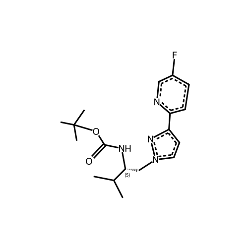 CC(C)[C@@H](Cn1ccc(-c2ccc(F)cn2)n1)NC(=O)OC(C)(C)C